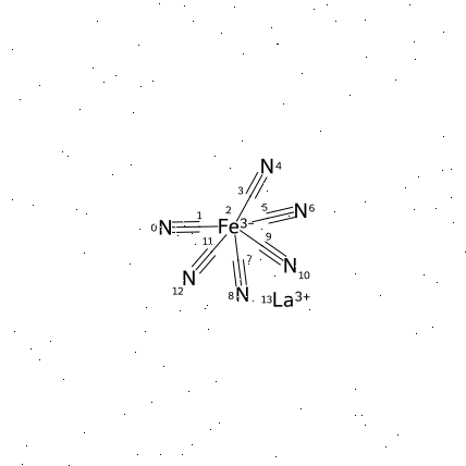 N#[C][Fe-3]([C]#N)([C]#N)([C]#N)([C]#N)[C]#N.[La+3]